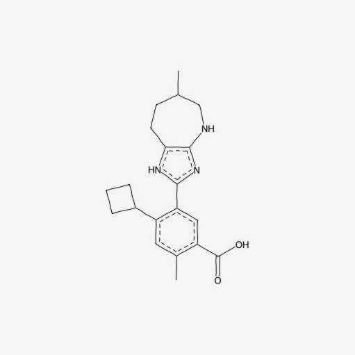 Cc1cc(C2CCC2)c(-c2nc3c([nH]2)CCC(C)CN3)cc1C(=O)O